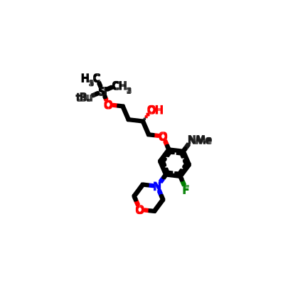 CNc1cc(F)c(N2CCOCC2)cc1OC[C@@H](O)CCO[Si](C)(C)C(C)(C)C